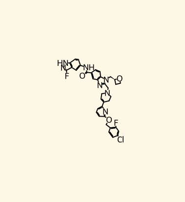 O=C(Nc1ccc2[nH]nc(F)c2c1)c1ccc2c(c1)nc(CN1CC=C(c3cccc(OCc4ccc(Cl)cc4F)n3)CC1)n2C[C@@H]1CCO1